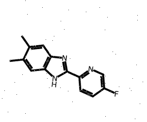 Cc1cc2nc(-c3ccc(F)cn3)[nH]c2cc1C